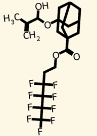 C=C(C)C(O)OC12CC3CC(C1)CC(C(=O)OCCC(F)(F)C(F)(F)C(F)(F)C(F)(F)F)(C3)C2